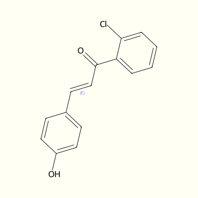 O=C(/C=C/c1ccc(O)cc1)c1ccccc1Cl